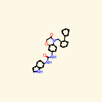 O=C(Nc1ccc2c(c1)OCC(=O)N2Cc1ccccc1-c1ccccc1)Nc1ccc2cc[nH]c2c1